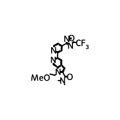 COCCn1c(C(=O)N(C)C)cc2cc(-c3cc(-c4noc(C(F)(F)F)n4)ccn3)ncc21